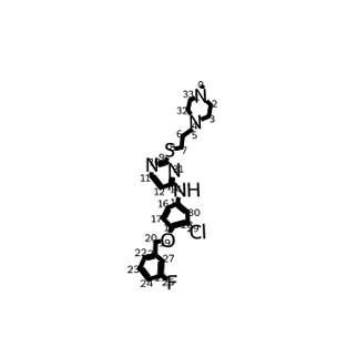 CN1CCN(CCCSc2nccc(Nc3ccc(OCc4cccc(F)c4)c(Cl)c3)n2)CC1